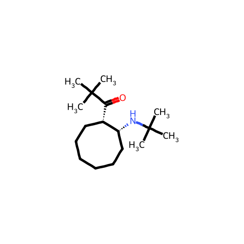 CC(C)(C)N[C@@H]1CCCCCC[C@@H]1C(=O)C(C)(C)C